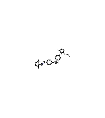 CCCc1ccc(C)n1-c1ccc(Nc2ccc(/N=N/c3n(C)cc[n+]3C)cc2)cc1